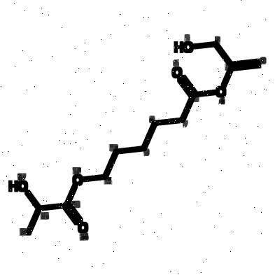 C=C(CO)OC(=O)CCCCCOC(=O)C(C)O